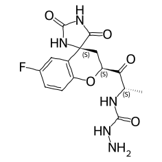 C[C@H](NC(=O)NN)C(=O)[C@@H]1C[C@]2(NC(=O)NC2=O)c2cc(F)ccc2O1